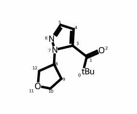 CC(C)(C)C(=O)c1ccnn1C1CCOC1